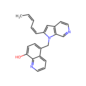 C/C=C\C=C/c1cc2ccncc2n1Cc1ccc(O)c2ncccc12